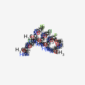 COc1cc(N2CCN(Cc3cccc(C(F)(F)F)c3)C2=O)ccc1-c1cn[nH]c1.COc1cc(N2CCN(Cc3cccc(Cl)c3)C2=O)ccc1-c1cn[nH]c1.COc1cc(N2CCN(Cc3cccc(F)c3)C2=O)ccc1-c1cn[nH]c1.COc1cc(N2CCN(Cc3ccccc3Cl)C2=O)ccc1-c1cn[nH]c1.COc1cccc(CN2CCN(c3ccc(-c4cn[nH]c4)c(OC)c3)C2=O)c1